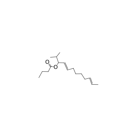 C/C=C/CCCC/C=C/C(OC(=O)CCC)C(C)C